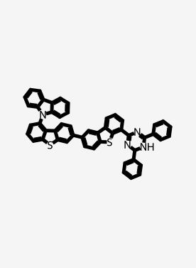 c1ccc(C2=NC(c3cccc4c3sc3ccc(-c5ccc6c(c5)sc5cccc(-n7c8ccccc8c8ccccc87)c56)cc34)=NC(c3ccccc3)N2)cc1